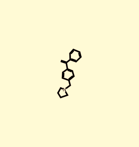 C=C(c1ccccc1)c1ccc(CN2CCCC2)cc1